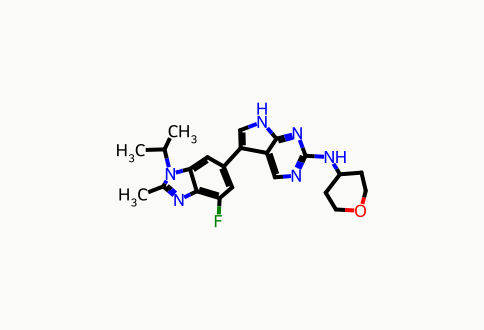 Cc1nc2c(F)cc(-c3c[nH]c4nc(NC5CCOCC5)ncc34)cc2n1C(C)C